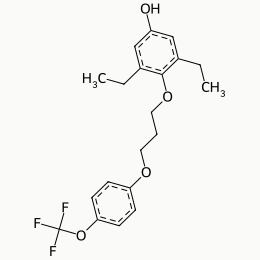 CCc1cc(O)cc(CC)c1OCCCOc1ccc(OC(F)(F)F)cc1